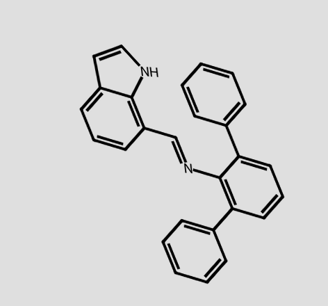 C(=N\c1c(-c2ccccc2)cccc1-c1ccccc1)/c1cccc2cc[nH]c12